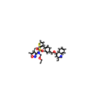 CCOCN(c1noc(C)c1C)S(=O)(=O)c1sccc1-c1ccc(COc2cc(C)nc3ccccc23)cc1